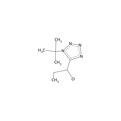 CCC([O])c1nnnn1C(C)(C)C